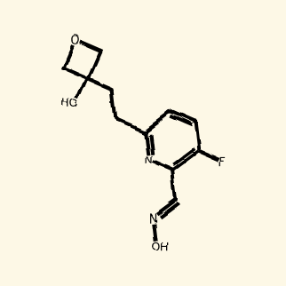 ON=Cc1nc(CCC2(O)COC2)ccc1F